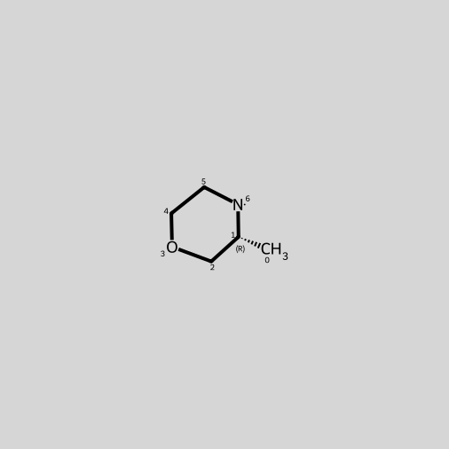 C[C@@H]1COCC[N]1